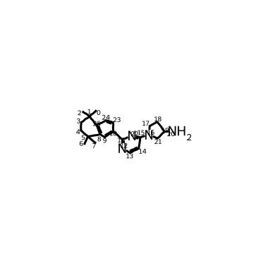 CC1(C)CCC(C)(C)c2cc(-c3nccc(N4CCC(N)C4)n3)ccc21